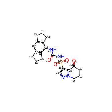 O=C(Nc1c2c(cc3c1CCC3)CCC2)NS(=O)(=O)c1cnn2c1C(=O)CCC2